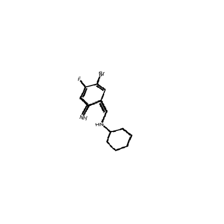 N=C1C=C(F)C(Br)=C/C1=C/NC1CCCCC1